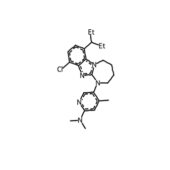 CCC(CC)c1ccc(Cl)c2nc3n(c12)CCCCN3c1cnc(N(C)C)cc1C